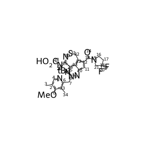 COc1c(C)cnc(Cn2nc3cc(C(=O)N4CCC(F)(F)C4)c4c-3c(n2)C(N(C(=O)O)C(C)(C)C)=NSC4)c1C